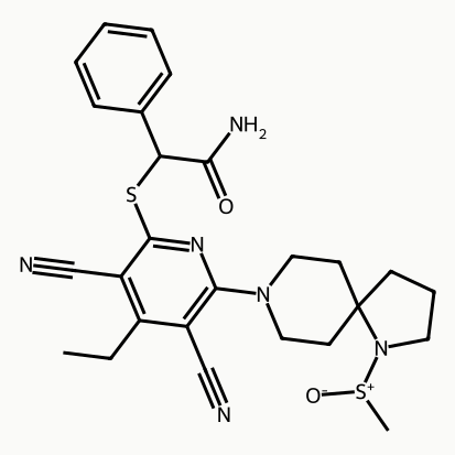 CCc1c(C#N)c(SC(C(N)=O)c2ccccc2)nc(N2CCC3(CCCN3[S+](C)[O-])CC2)c1C#N